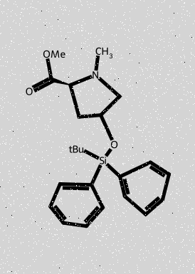 COC(=O)[C@@H]1CC(O[Si](c2ccccc2)(c2ccccc2)C(C)(C)C)CN1C